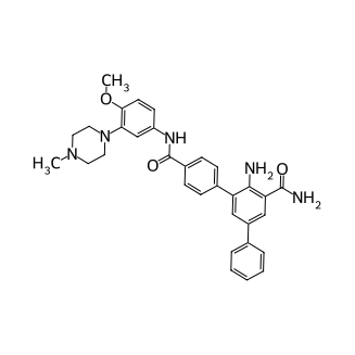 COc1ccc(NC(=O)c2ccc(-c3cc(-c4ccccc4)cc(C(N)=O)c3N)cc2)cc1N1CCN(C)CC1